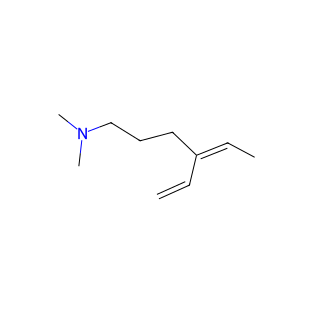 C=C/C(=C\C)CCCN(C)C